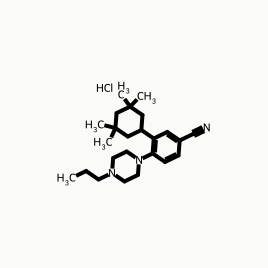 CCCN1CCN(c2ccc(C#N)cc2C2CC(C)(C)CC(C)(C)C2)CC1.Cl